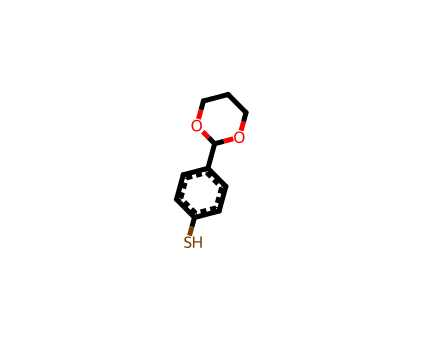 Sc1ccc(C2OCCCO2)cc1